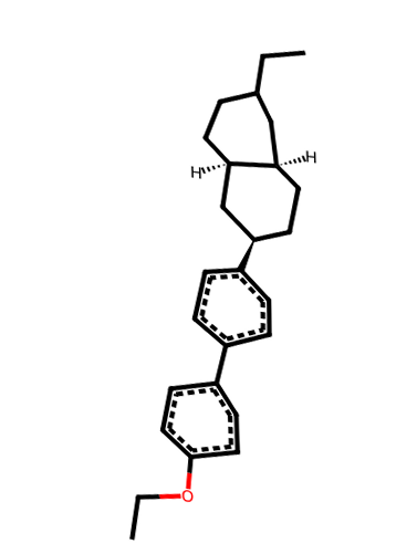 CCOc1ccc(-c2ccc([C@@H]3CC[C@@H]4CC(CC)CC[C@@H]4C3)cc2)cc1